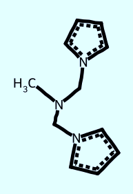 CN(Cn1cccc1)Cn1cccc1